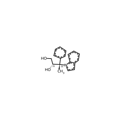 C[C@](c1ccccc1)([C@H](O)CO)n1ccc2ccccc21